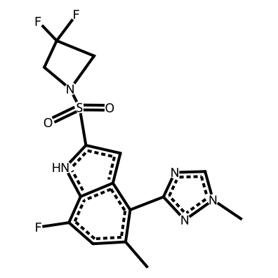 Cc1cc(F)c2[nH]c(S(=O)(=O)N3CC(F)(F)C3)cc2c1-c1ncn(C)n1